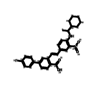 CC(Nc1ccc(C=Cc2cc(-c3ccc(F)cc3)ccc2C(=O)O)cc1[N+](=O)[O-])C1CCCCC1